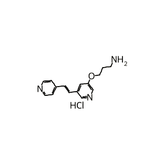 Cl.NCCCOc1cncc(C=Cc2ccncc2)c1